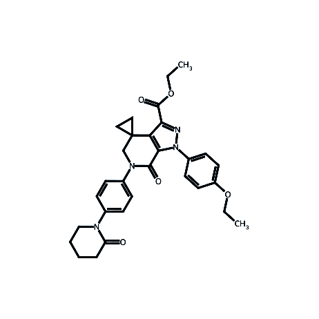 CCOC(=O)c1nn(-c2ccc(OCC)cc2)c2c1C1(CC1)CN(c1ccc(N3CCCCC3=O)cc1)C2=O